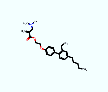 C=C(CN(C)C)C(=O)OCCOc1ccc(-c2ccc(CCCCC)cc2CC)cc1